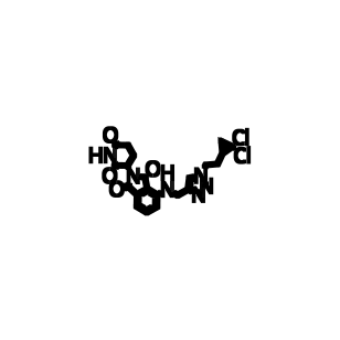 O=C1CCC(N2C(=O)c3cccc(NCc4cn(CCC5CC5(Cl)Cl)nn4)c3C2=O)C(=O)N1